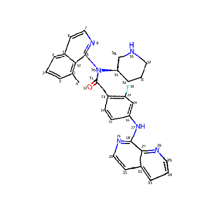 Cc1cccc2ccnc(N(C(=O)c3ccc(Nc4nccc5cccnc45)cc3F)[C@@H]3CCCNC3)c12